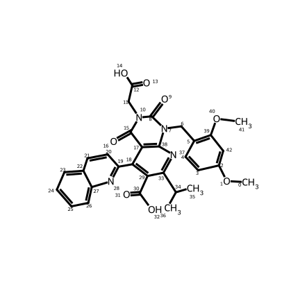 COc1ccc(Cn2c(=O)n(CC(=O)O)c(=O)c3c(-c4ccc5ccccc5n4)c(C(=O)O)c(C(C)C)nc32)c(OC)c1